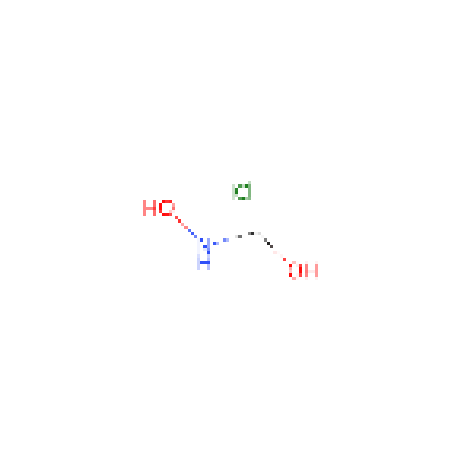 Cl.OCNO